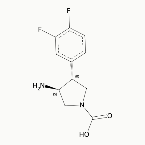 N[C@@H]1CN(C(=O)O)C[C@H]1c1ccc(F)c(F)c1